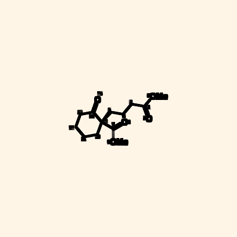 COC(=O)CCC[C@@]1(C(=O)OC)CCCCC1=O